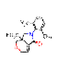 Cc1cccc(C)c1N1CC2(C(=O)O)COCC=C2C1=O